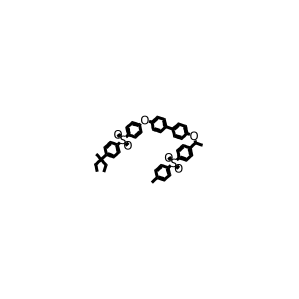 CCC(C)(CC)c1ccc(S(=O)(=O)c2ccc(Oc3ccc(-c4ccc(OC(C)c5ccc(S(=O)(=O)c6ccc(C)cc6)cc5)cc4)cc3)cc2)cc1